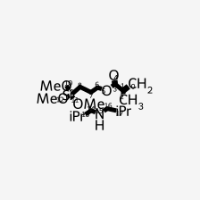 C=C(C)C(=O)OCCC[Si](OC)(OC)OC.CC(C)CNCC(C)C